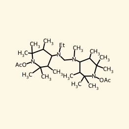 CCN(CN(C)C1C(C)C(C)(C)N(OC(C)=O)C(C)(C)C1C)C1C(C)C(C)(C)N(OC(C)=O)C(C)(C)C1C